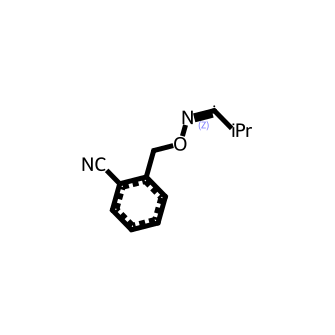 CC(C)/[C]=N\OCc1ccccc1C#N